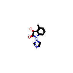 Cc1cccc2c1C(=O)C(=O)N2n1ccnc1